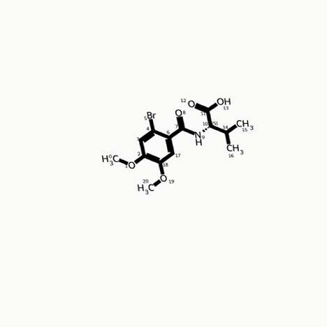 COc1cc(Br)c(C(=O)N[C@H](C(=O)O)C(C)C)cc1OC